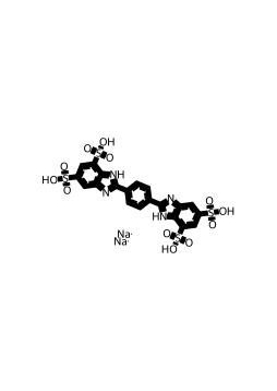 O=S(=O)(O)c1cc(S(=O)(=O)O)c2[nH]c(-c3ccc(-c4nc5cc(S(=O)(=O)O)cc(S(=O)(=O)O)c5[nH]4)cc3)nc2c1.[Na].[Na]